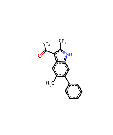 Cc1cc2c(C(=O)C(F)(F)F)c(C(F)(F)F)[nH]c2cc1-c1ccccc1